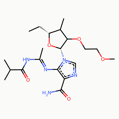 CC[C@H]1O[C@@H](n2cnc(C(N)=O)c2/N=C(\C)NC(=O)C(C)C)C(OCCOC)C1C